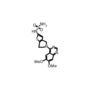 COc1cc2ncnc(N3CCc4sc(NS(N)(=O)=O)cc4C3)c2cc1OC